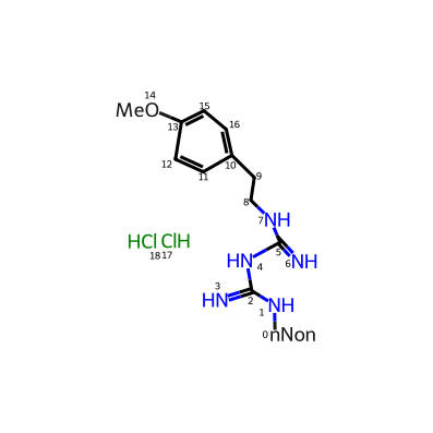 CCCCCCCCCNC(=N)NC(=N)NCCc1ccc(OC)cc1.Cl.Cl